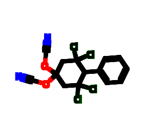 N#COC1(OC#N)CC(Cl)(Cl)C(c2ccccc2)C(Cl)(Cl)C1